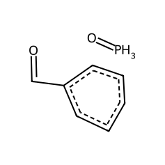 O=Cc1ccccc1.O=[PH3]